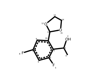 CC(O)c1c(F)cc(F)cc1C1OCCO1